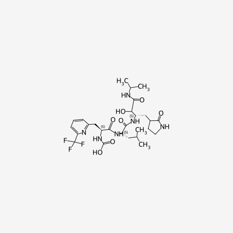 CC(C)C[C@H](NC(=O)[C@H](Cc1cccc(C(F)(F)F)n1)NC(=O)O)C(=O)N[C@@H](CC1CCNC1=O)C(O)C(=O)NC(C)C